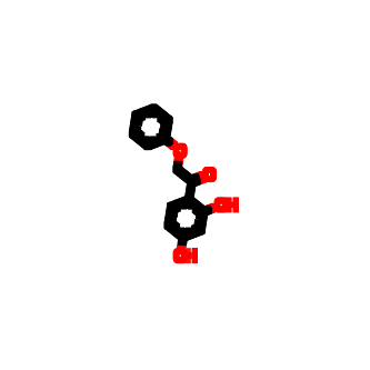 O=C(COc1ccccc1)c1ccc(O)cc1O